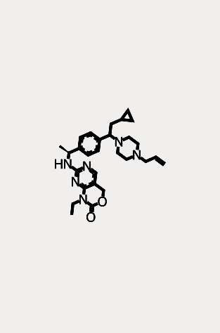 C=CCN1CCN(C(CC2CC2)c2ccc([C@H](C)Nc3ncc4c(n3)N(CC)C(=O)OC4)cc2)CC1